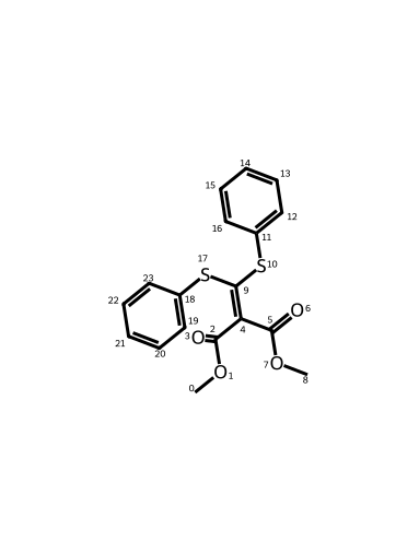 COC(=O)C(C(=O)OC)=C(Sc1ccccc1)Sc1ccccc1